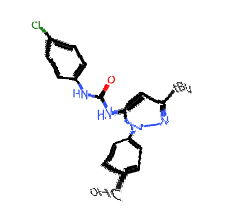 CC(C)(C)c1cc(NC(=O)Nc2ccc(Cl)cc2)n(-c2ccc(C=O)cc2)n1